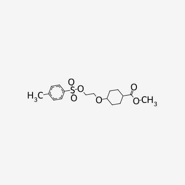 COC(=O)C1CCC(OCCOS(=O)(=O)c2ccc(C)cc2)CC1